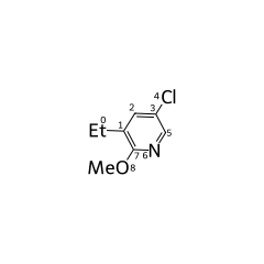 CCc1cc(Cl)cnc1OC